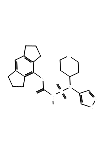 O=C(Nc1c2c(cc3c1CCC3)CCC2)[NH+]([O-])S(=O)(=O)N(c1cn[nH]c1)C1CCOCC1